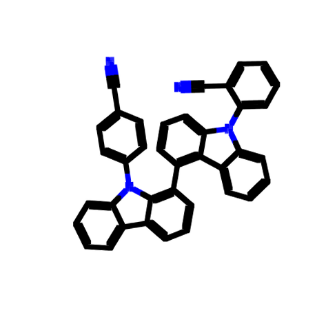 N#Cc1ccc(-n2c3ccccc3c3cccc(-c4cccc5c4c4ccccc4n5-c4ccccc4C#N)c32)cc1